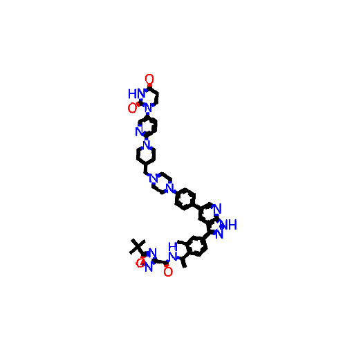 Cc1cc(-c2n[nH]c3ncc(-c4ccc(N5CCN(CC6CCN(c7ccc(N8CCC(=O)NC8=O)cn7)CC6)CC5)cc4)cc23)ccc1C(C)NC(=O)c1noc(C(C)(C)C)n1